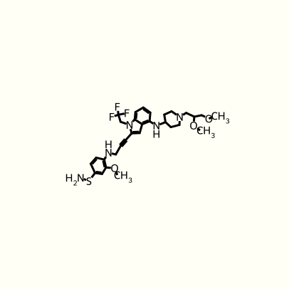 COCC(CN1CCC(Nc2cccc3c2cc(C#CCNc2ccc(SN)cc2OC)n3CC(F)(F)F)CC1)OC